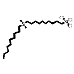 CCCCCCCCCC[Si](C)(C)CCCCCCCCCC[Si](Cl)(Cl)Cl